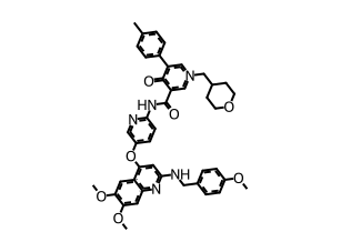 COc1ccc(CNc2cc(Oc3ccc(NC(=O)c4cn(CC5CCOCC5)cc(-c5ccc(C)cc5)c4=O)nc3)c3cc(OC)c(OC)cc3n2)cc1